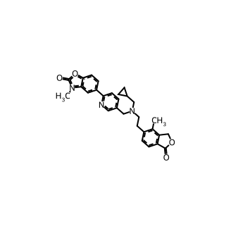 Cc1c(CCN(Cc2ccc(-c3ccc4oc(=O)n(C)c4c3)nc2)CC2CC2)ccc2c1COC2=O